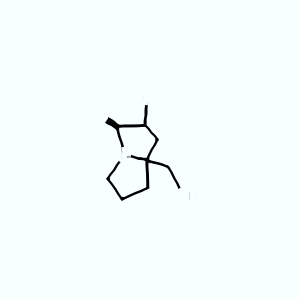 CCC12CCCN1C(=O)C(C)C2